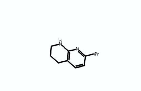 CC(C)c1ccc2c(n1)NCCC2